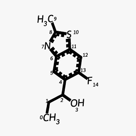 CCC(O)c1cc2nc(C)sc2cc1F